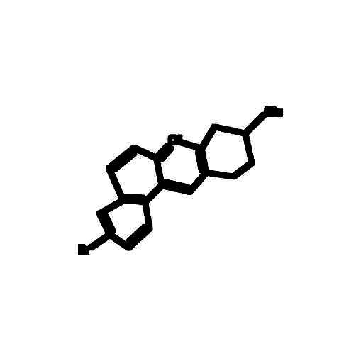 CC(C)(C)C1CCc2cc3c(ccc4cc(Br)ccc43)[o+]c2C1